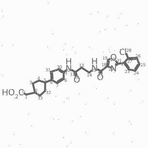 O=C(O)CC1CCC(c2ccc(NC(=O)CCNC(=O)c3coc(-c4ccccc4Cl)n3)cc2)CC1